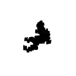 C#CCN(Cc1ccc2nc(Sc3ncccn3)[nH]c(=O)c2c1)c1ccc(C(=O)N[C@H](CCC(=O)OCC)C(=O)OCC)cc1